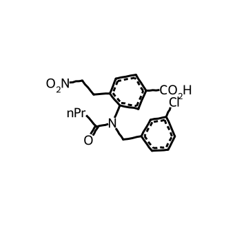 CCCC(=O)N(Cc1cccc(Cl)c1)c1cc(C(=O)O)ccc1CC[N+](=O)[O-]